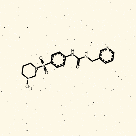 O=C(NCc1cccnc1)Nc1ccc(S(=O)(=O)N2CCC[C@H](C(F)(F)F)C2)cc1